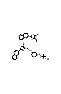 CCc1oc(-c2ccc3ccccc3c2)nc1CI.CCc1oc(-c2ccc3ccccc3c2)nc1COC[C@H]1CCC[C@@H](COC(C)(C)C(=O)O)C1